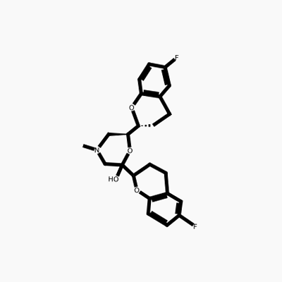 CN1C[C@@H]([C@H]2CCc3cc(F)ccc3O2)OC(O)(C2CCc3cc(F)ccc3O2)C1